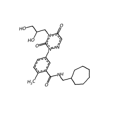 Cc1ccc(-n2ncc(=O)n(CC(O)CO)c2=O)cc1C(=O)NCC1CCCCCC1